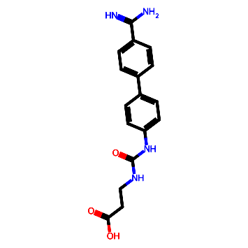 N=C(N)c1ccc(-c2ccc(NC(=O)NCCC(=O)O)cc2)cc1